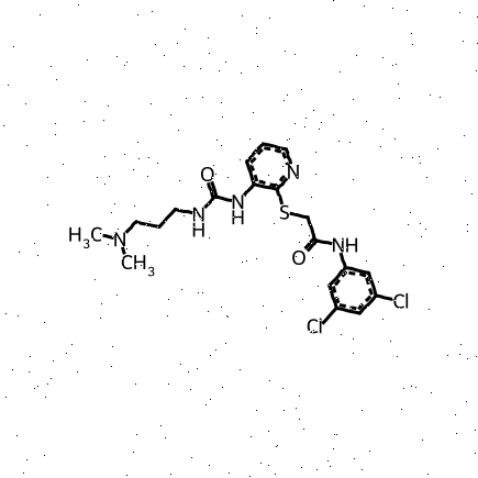 CN(C)CCCNC(=O)Nc1cccnc1SCC(=O)Nc1cc(Cl)cc(Cl)c1